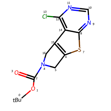 CC(C)(C)OC(=O)N1Cc2sc3ncnc(Cl)c3c2C1